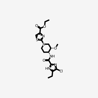 CCOC(=O)c1csc(N2CC[C@@H](NC(=O)c3nc(Cl)c(CC)[nH]3)[C@@H](OC)C2)n1